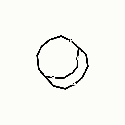 [CH]1CC[CH]C2CCCCCCC(CC1)CCCCC2